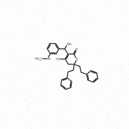 CC(C)(C)C(C1=C(O)CC(CCc2ccccc2)(CCc2ccccc2)OC1=O)c1cccc(NC(=O)O)c1